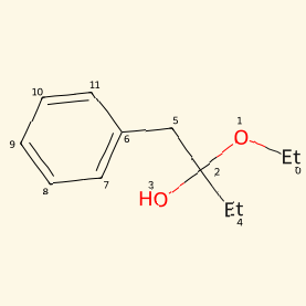 CCOC(O)(CC)Cc1ccccc1